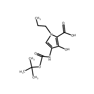 CCCn1cc(NC(=O)OC(C)(C)C)c(O)c1C(=O)O